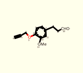 C#CCOc1ccc(CC[C]=O)cc1OC